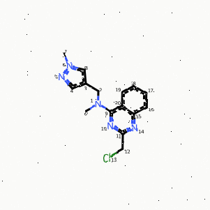 CN(Cc1cnn(C)c1)c1nc(CCl)nc2ccccc12